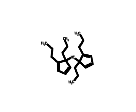 CCCC1=CC=C[C]1(CCC)[Hf][C]1(CCC)C=CC=C1CCC